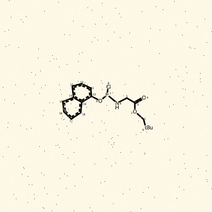 CC(C)(C)COC(=O)CNP(Cl)Oc1cccc2ccccc12